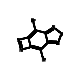 Brc1c2c(c(Br)c3nsnc13)N=N2